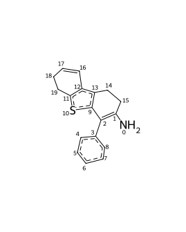 NC1=C(c2ccccc2)c2sc3c(c2CC1)C=CCC3